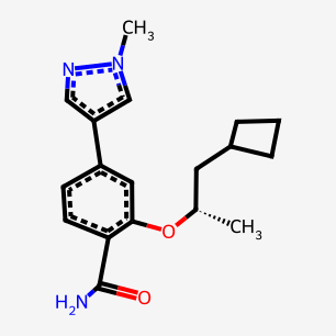 C[C@@H](CC1CCC1)Oc1cc(-c2cnn(C)c2)ccc1C(N)=O